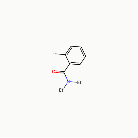 [CH2]c1ccccc1C(=O)N(CC)CC